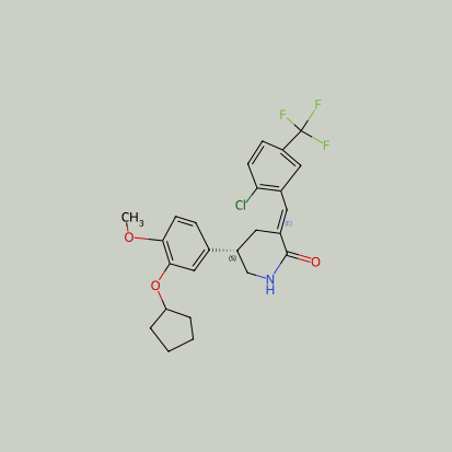 COc1ccc([C@H]2CNC(=O)/C(=C/c3cc(C(F)(F)F)ccc3Cl)C2)cc1OC1CCCC1